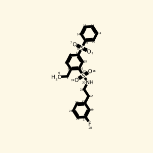 CCc1ccc(S(=O)(=O)c2ccccc2)cc1S(=O)(=O)NCCc1cccc(F)c1